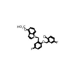 O=C(O)Oc1cccc2c1ccn2Cc1cc(F)ccc1OCc1cc(F)ccc1Cl